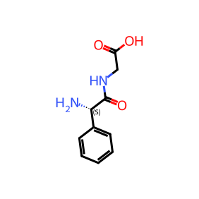 N[C@H](C(=O)NCC(=O)O)c1ccccc1